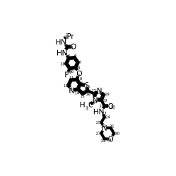 CC(C)NC(=O)Nc1ccc(Oc2ccnc3cc(-c4ncc(C(=O)NCCN5CCOCC5)n4C)sc23)c(F)c1